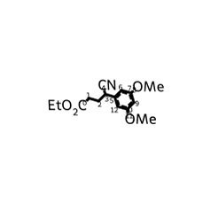 CCOC(=O)CCC(C#N)c1cc(OC)cc(OC)c1